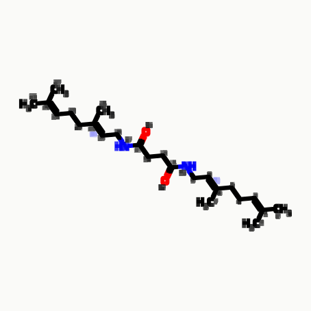 CC(C)=CCC/C(C)=C/CNC(=O)CCC(=O)NC/C=C(\C)CCC=C(C)C